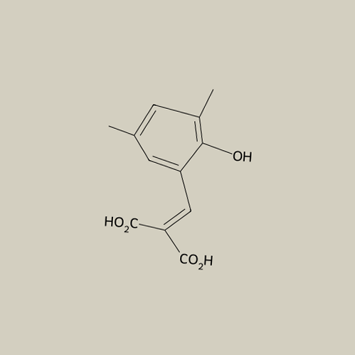 Cc1cc(C)c(O)c(C=C(C(=O)O)C(=O)O)c1